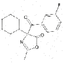 CC1=NC(C(=O)c2cccc(F)c2)(C2CCCCC2)C(=O)O1